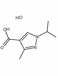 Cc1nn(C(C)C)cc1C(=O)O.Cl